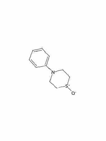 [O-][S+]1CCN(c2c[c]ccc2)CC1